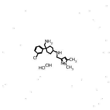 Cc1cc(CNC2CCC(CN)(c3cccc(Cl)c3)CC2)nn1C.Cl.Cl